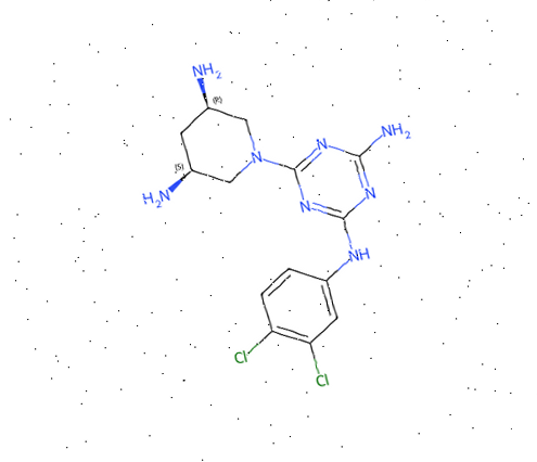 Nc1nc(Nc2ccc(Cl)c(Cl)c2)nc(N2C[C@H](N)C[C@H](N)C2)n1